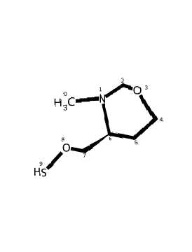 CN1COCC[C@H]1COS